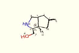 CC1CC2CN[C@H](CO)[C@H]2C1